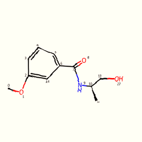 COc1cccc(C(=O)N[C@H](C)CO)c1